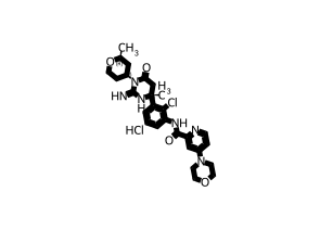 C[C@@H]1C[C@H](N2C(=N)N[C@](C)(c3cccc(NC(=O)c4cc(N5CCOCC5)ccn4)c3Cl)CC2=O)CCO1.Cl